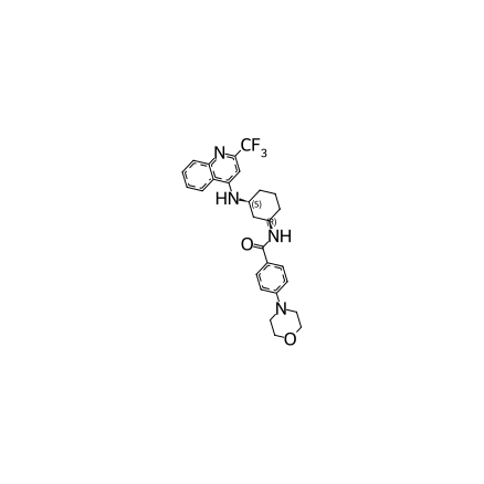 O=C(N[C@@H]1CCC[C@H](Nc2cc(C(F)(F)F)nc3ccccc23)C1)c1ccc(N2CCOCC2)cc1